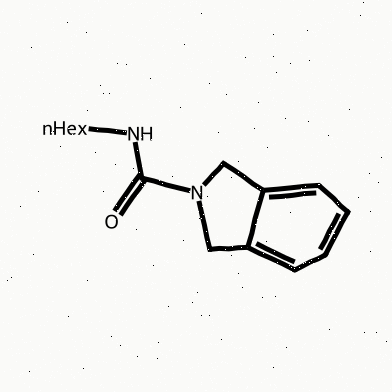 CCCCCCNC(=O)N1Cc2ccccc2C1